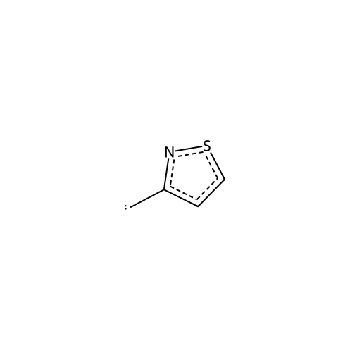 [CH]c1ccsn1